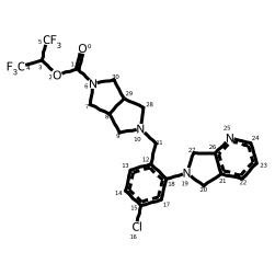 O=C(OC(C(F)(F)F)C(F)(F)F)N1CC2CN(Cc3ccc(Cl)cc3N3Cc4cccnc4C3)CC2C1